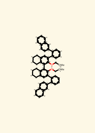 COCOc1c(-c2ccccc2-c2ccc3ccccc3c2)cc2c(c1-c1c3c(cc(-c4ccccc4-c4ccc5ccccc5c4)c1OCOC)CCCC3)CCCC2